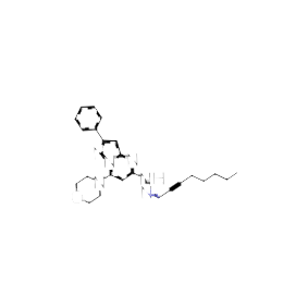 CCCCCC#C/C=N\Nc1cc(N2CCOCC2)n2nc(-c3ccccc3)cc2n1